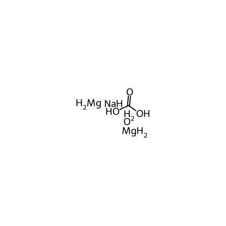 O.O=C(O)O.[MgH2].[MgH2].[NaH]